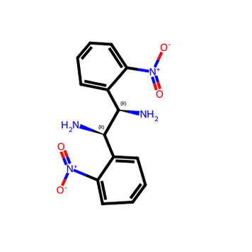 N[C@H](c1ccccc1[N+](=O)[O-])[C@H](N)c1ccccc1[N+](=O)[O-]